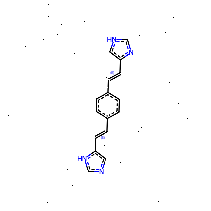 C(=C\c1c[nH]cn1)/c1ccc(/C=C/c2cnc[nH]2)cc1